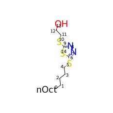 CCCCCCCCCCCCSc1nnc(SCCO)s1